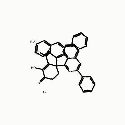 CC(=O)C1=C(O)C(=O)CCC1(c1nc(-c2ccccc2)cc2ccccc12)c1nc(-c2ccccc2)cc2ccccc12.[Ir+3].[Pt+2]